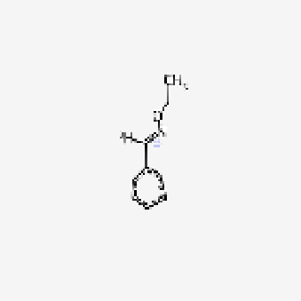 [3H]/C(=N\OCC)c1ccccc1